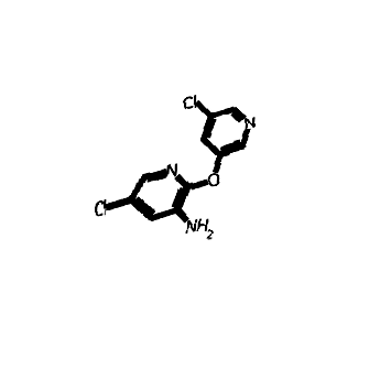 Nc1cc(Cl)cnc1Oc1cncc(Cl)c1